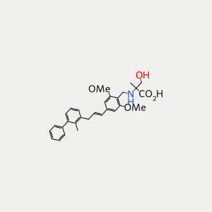 COc1cc(/C=C/Cc2cccc(-c3ccccc3)c2C)cc(OC)c1CNC(C)(CO)C(=O)O